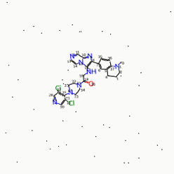 CN1CCCc2cc(-c3nc4cnccn4c3NCC(=O)N3CCN(c4c(Cl)cncc4Cl)CC3)ccc21